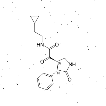 O=C(NCCC1CC1)C(=O)[C@H]1CNC(=O)[C@@H]1c1ccccc1